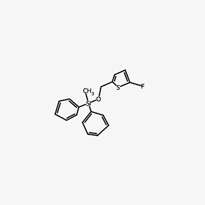 C[Si](OCc1ccc(F)s1)(c1ccccc1)c1ccccc1